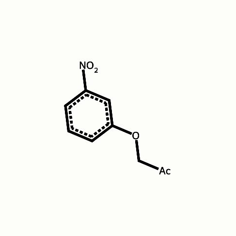 CC(=O)COc1cccc([N+](=O)[O-])c1